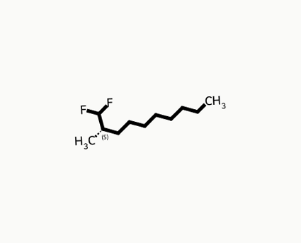 CCCCCCCC[C@H](C)C(F)F